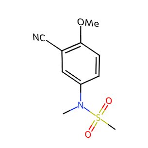 COc1ccc(N(C)S(C)(=O)=O)cc1C#N